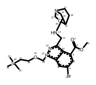 COC(=O)c1cc(Br)cc2c1c(CNC1CN3CCC1CC3)nn2COCC[Si](C)(C)C